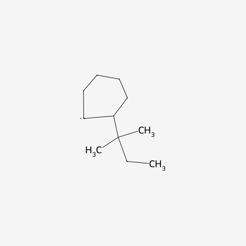 CCC(C)(C)C1[CH]CCCC1